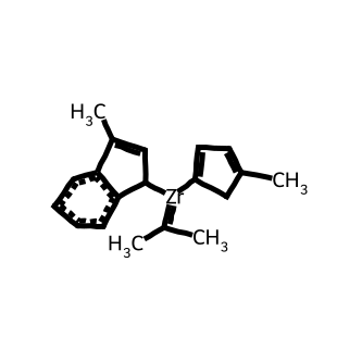 CC1=CC=[C]([Zr](=[C](C)C)[CH]2C=C(C)c3ccccc32)C1